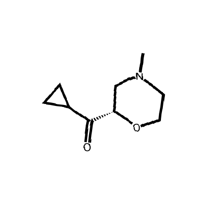 CN1CCO[C@H](C(=O)C2CC2)C1